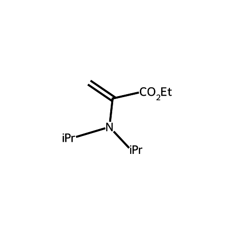 C=C(C(=O)OCC)N(C(C)C)C(C)C